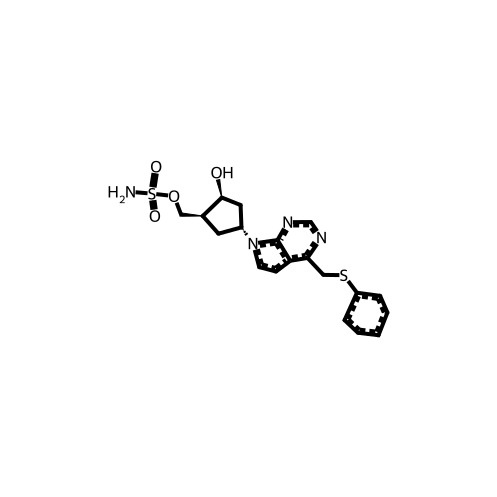 NS(=O)(=O)OC[C@@H]1C[C@@H](n2ccc3c(CSc4ccccc4)ncnc32)C[C@@H]1O